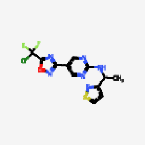 CC(Nc1ncc(-c2noc(C(F)(F)Cl)n2)cn1)c1ccsn1